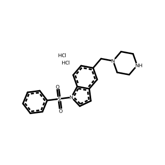 Cl.Cl.O=S(=O)(c1ccccc1)n1ccc2cc(CN3CCNCC3)ccc21